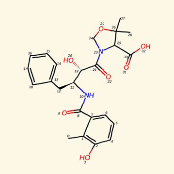 Cc1c(O)cccc1C(=O)N[C@@H](Cc1ccccc1)[C@H](O)C(=O)N1COC(C)(C)C1C(=O)O